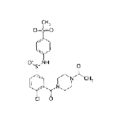 CC(=O)N1CCN(C(=O)c2cc([S+]([O-])Nc3ccc(S(C)(=O)=O)cc3)ccc2Cl)CC1